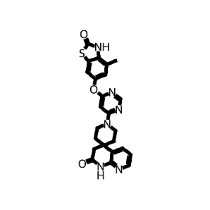 Cc1cc(Oc2cc(N3CCC4(CC3)CC(=O)Nc3ncccc34)ncn2)cc2sc(=O)[nH]c12